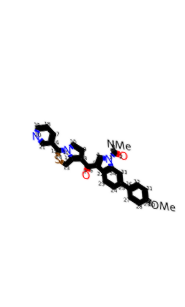 CNC(=O)n1cc(C(=O)c2ccn3c2CSC3c2cccnc2)c2ccc(-c3ccc(OC)cc3)cc21